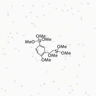 COc1ccc([Si](OC)(OC)OC)cc1CC[Si](OC)(OC)OC